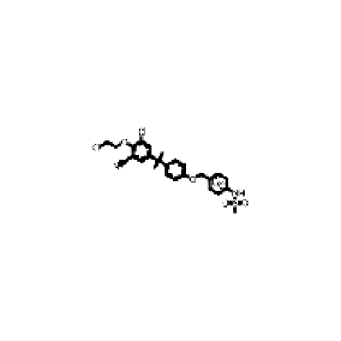 CC(C)(c1ccc(OCC23CCC(NS(C)(=O)=O)(CC2)CC3)cc1)c1cc(Cl)c(OCCCl)c(C#N)c1